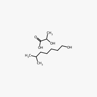 CC(C)CCCCCO.CC(O)C(=O)O